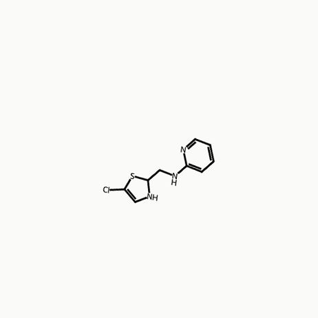 ClC1=CNC(CNc2ccccn2)S1